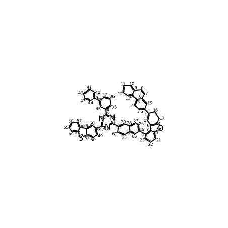 C1=C(c2ccc3c(ccc4ccccc43)c2)CCc2oc3cccc(-c4ccc5cc(-c6nc(-c7cccc(-c8ccccc8)c7)nc(-c7ccc8sc9ccccc9c8c7)n6)ccc5c4)c3c21